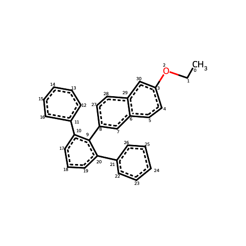 CCOc1ccc2cc(-c3c(-c4ccccc4)cccc3-c3ccccc3)ccc2c1